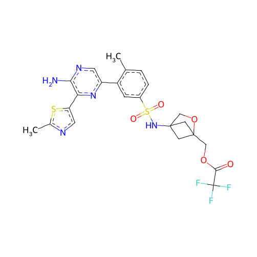 Cc1ncc(-c2nc(-c3cc(S(=O)(=O)NC45COC(COC(=O)C(F)(F)F)(C4)C5)ccc3C)cnc2N)s1